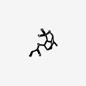 C=CC(=O)OC1C2CC3C(OS(=O)(=O)C31)C2C